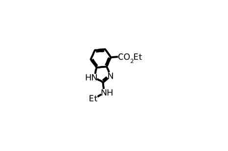 CCNc1nc2c(C(=O)OCC)cccc2[nH]1